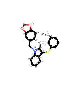 COc1cccc(Sc2c(C(=O)O)n(Cc3ccc4c(c3)OCO4)c3ccccc23)c1